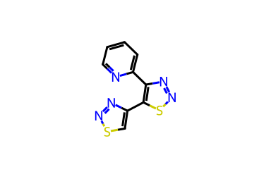 c1ccc(-c2nnsc2-c2csnn2)nc1